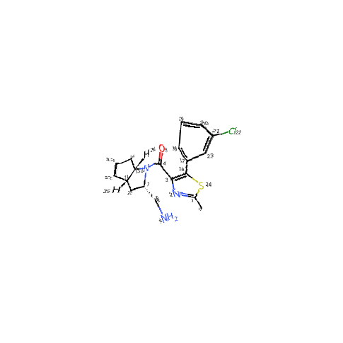 Cc1nc(C(=O)N2[C@H](CN)C[C@@H]3CCC[C@@H]32)c(-c2cccc(Cl)c2)s1